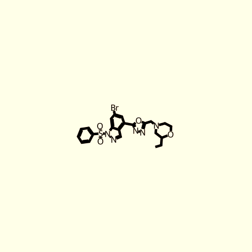 CCC1CN(Cc2nnc(-c3cc(Br)cc4c3cnn4S(=O)(=O)c3ccccc3)o2)CCO1